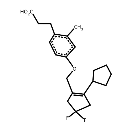 Cc1cc(OCC2=C(C3CCCC3)CC(F)(F)C2)ccc1CCC(=O)O